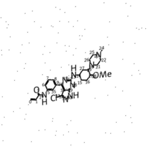 C=CC(=O)Nc1cccc(-c2nc(NC3CCC(OC)C(N4CCN(C)CC4)C3)nc3[nH]nc(Cl)c23)c1